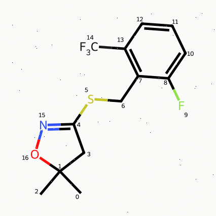 CC1(C)CC(SCc2c(F)cccc2C(F)(F)F)=NO1